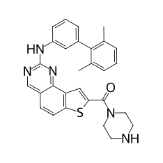 Cc1cccc(C)c1-c1cccc(Nc2ncc3ccc4sc(C(=O)N5CCNCC5)cc4c3n2)c1